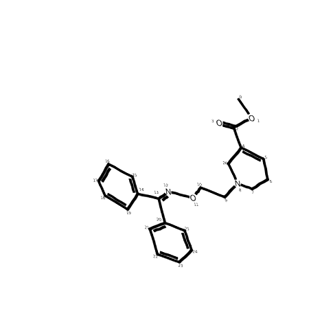 COC(=O)C1=CCCN(CCON=C(c2ccccc2)c2ccccc2)C1